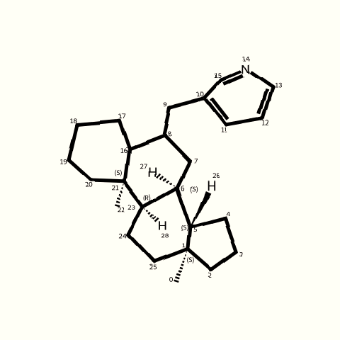 C[C@@]12CCC[C@H]1[C@@H]1CC(Cc3cccnc3)C3CCCC[C@]3(C)[C@@H]1CC2